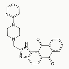 O=C1c2ccccc2C(=O)c2c1ccc1nc(CN3CCN(c4ccccn4)CC3)[nH]c21